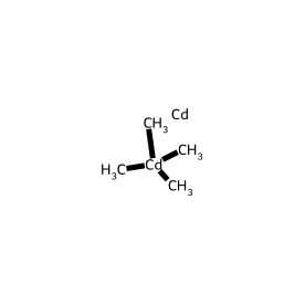 [CH3][Cd]([CH3])([CH3])[CH3].[Cd]